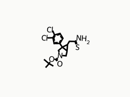 CC(C)(C)OC(=O)N1CC2C(CC(N)=S)C2(c2ccc(Cl)c(Cl)c2)C1